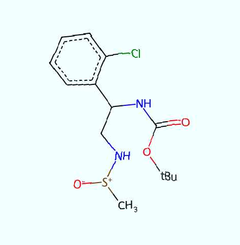 C[S+]([O-])NCC(NC(=O)OC(C)(C)C)c1ccccc1Cl